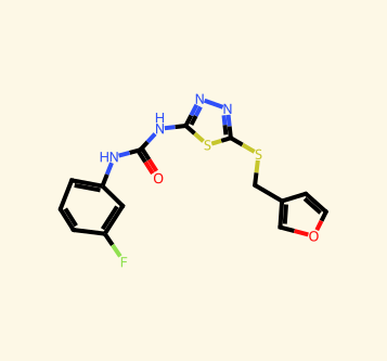 O=C(Nc1cccc(F)c1)Nc1nnc(SCc2ccoc2)s1